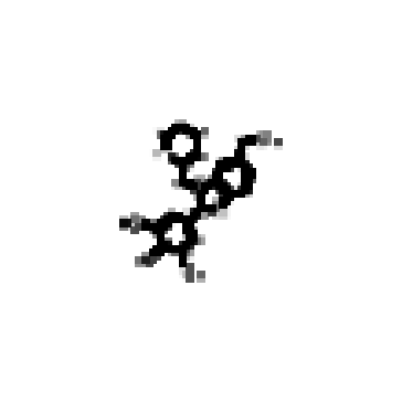 Cc1cc(C2Nc3ccc(CN)cc3N2CC2CCCCO2)cn(C)c1=O